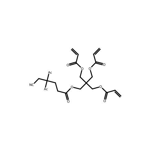 C=CC(=O)OCC(COC(=O)C=C)(COC(=O)C=C)COC(=O)CCC(CC#N)(C(C)=O)C(C)=O